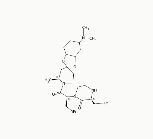 CC(C)C[C@@H]1NCCN([C@@H](CC(C)C)C(=O)N2CCC3(C[C@@H]2C)OC2CCC(N(C)C)CC2O3)C1=O